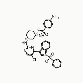 Nc1ccc(S(=O)(=O)N[C@H]2CCC[C@@H](Nc3ncc(Cl)c(-c4cn(S(=O)(=O)c5ccccc5)c5ccccc45)n3)C2)cc1